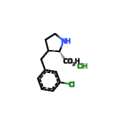 Cl.O=C(O)[C@H]1NCCC1Cc1cccc(Cl)c1